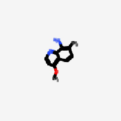 COc1ccnc2c(N)c(C)ccc12